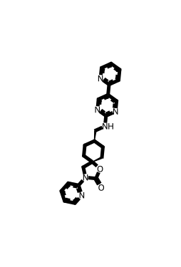 O=C1O[C@]2(CC[C@H](CNc3ncc(-c4ccccn4)cn3)CC2)CN1c1ccccn1